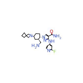 NC[C@H]1C[C@@H](N2CC3(CCC3)C2)CC[C@@H]1n1cc(C(N)=O)c(Nc2ccnc(F)c2)n1